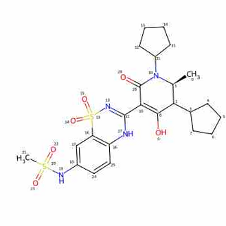 C[C@H]1C(C2CCCC2)C(O)=C(C2=NS(=O)(=O)c3cc(NS(C)(=O)=O)ccc3N2)C(=O)N1C1CCCC1